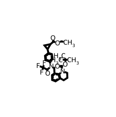 CCOC(=O)C1CC1c1ccc(N(Cc2cccc3c2N(C(=O)OC(C)(C)C)CCC3)C(=O)C(F)(F)F)cc1